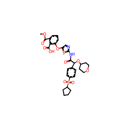 COC(=O)c1cccc(Oc2cnc(NC(=O)C(OC3CCOCC3)c3ccc(S(=O)(=O)C4CCCC4)cc3)s2)c1C(=O)O